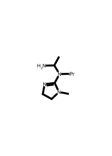 CC(C)N(C1=NCCN1C)C(C)N